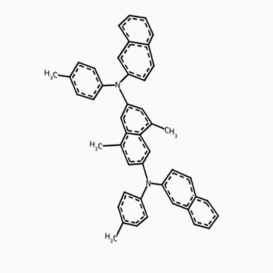 Cc1ccc(N(c2ccc3ccccc3c2)c2cc(C)c3cc(N(c4ccc(C)cc4)c4ccc5ccccc5c4)cc(C)c3c2)cc1